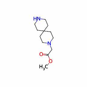 COC(=O)CN1CCC2(CCNCC2)CC1